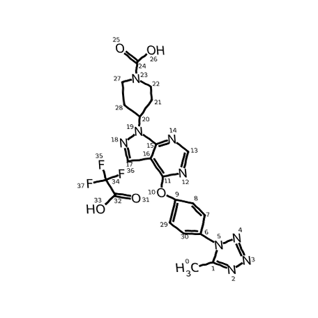 Cc1nnnn1-c1ccc(Oc2ncnc3c2cnn3C2CCN(C(=O)O)CC2)cc1.O=C(O)C(F)(F)F